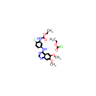 CCOC(=O)Cl.CCOC(=O)Nc1cc(Nc2ncnc3cc(OC)c(OC)cc23)ccc1F